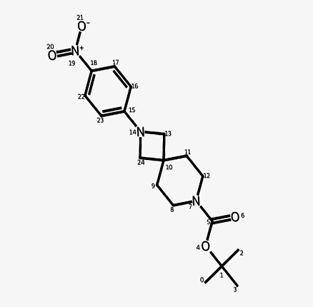 CC(C)(C)OC(=O)N1CCC2(CC1)CN(c1ccc([N+](=O)[O-])cc1)C2